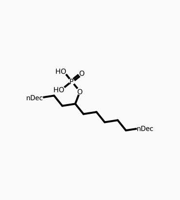 CCCCCCCCCCCCCCCC(CCCCCCCCCCCC)OP(=O)(O)O